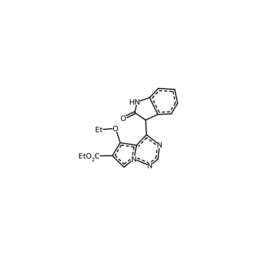 CCOC(=O)c1cn2ncnc(C3C(=O)Nc4ccccc43)c2c1OCC